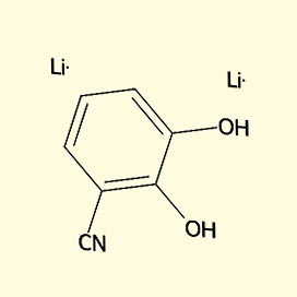 N#Cc1cccc(O)c1O.[Li].[Li]